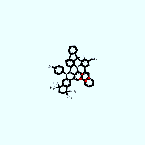 CC(C)(C)c1ccc(N2B3c4ccc5c(c4N(c4ccc(C(C)(C)C)cc4-c4ccccc4)c4cc(-c6ccccc6)cc(c43)-c3cc4c(cc32)C(C)(C)CCC4(C)C)C(C)(C)c2ccccc2-5)cc1